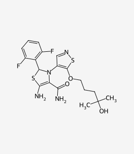 CC(C)(O)CCCOc1sncc1N1C(C(N)=O)=C(N)SC1c1c(F)cccc1F